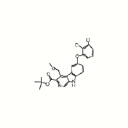 COCc1c(C(=O)OC(C)(C)C)ncc2[nH]c3ccc(Oc4cccc(Cl)c4Cl)cc3c12